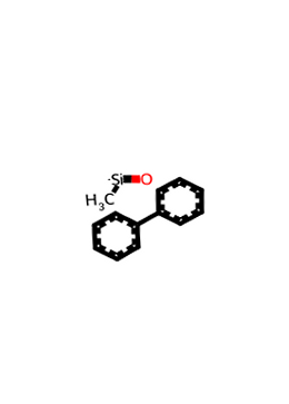 C[Si]=O.c1ccc(-c2ccccc2)cc1